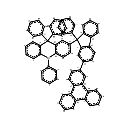 c1ccc(N2c3ccccc3C(c3ccccc3)(c3ccccc3)c3cc(C4(c5ccccc5)c5ccccc5-c5ccc(-c6ccc7c8ccccc8c8ccccc8c7c6)cc54)ccc32)cc1